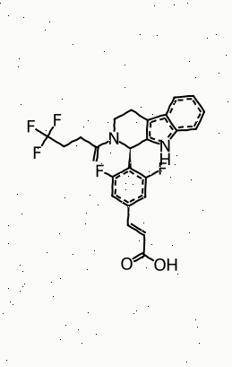 C=C(CCC(F)(F)F)N1CCc2c([nH]c3ccccc23)[C@H]1c1c(F)cc(/C=C/C(=O)O)cc1F